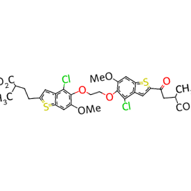 COc1cc2sc(CCC(C)C(=O)O)cc2c(Cl)c1OCCOc1c(OC)cc2sc(C(=O)CC(C)C(=O)O)cc2c1Cl